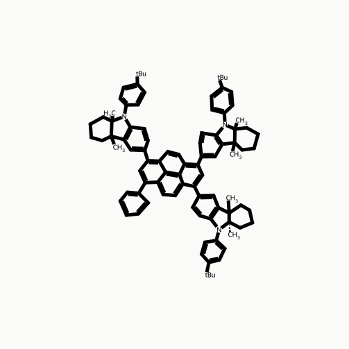 CC(C)(C)c1ccc(N2c3ccc(-c4cc(-c5ccccc5)c5ccc6c(-c7ccc8c(c7)C7(C)CCCC[C@@]7(C)N8c7ccc(C(C)(C)C)cc7)cc(-c7ccc8c(c7)C7(C)CCCCC7(C)N8c7ccc(C(C)(C)C)cc7)c7ccc4c5c76)cc3C3(C)CCCCC23C)cc1